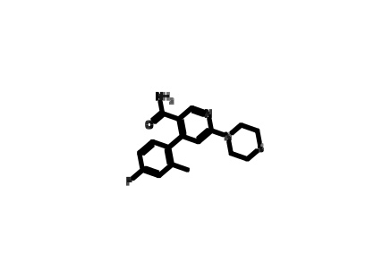 Cc1cc(F)ccc1-c1cc(N2CCSCC2)ncc1C(N)=O